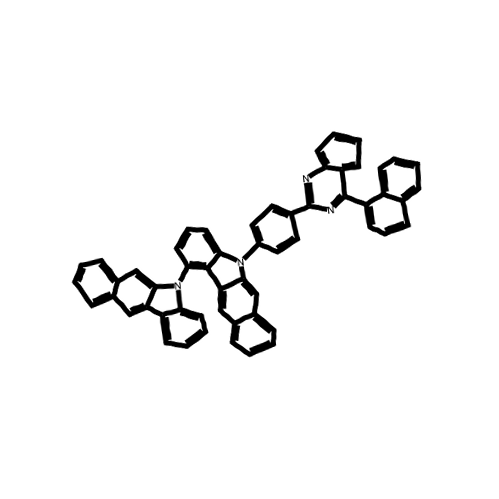 c1ccc2cc3c(cc2c1)c1ccccc1n3-c1cccc2c1c1cc3ccccc3cc1n2-c1ccc(-c2nc(-c3cccc4ccccc34)c3ccccc3n2)cc1